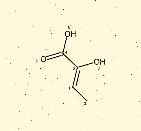 CC=C(O)C(=O)O